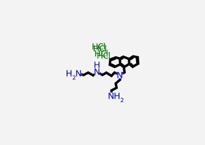 Cl.Cl.Cl.Cl.NCCCCN(CCCCNCCCN)Cc1c2ccccc2cc2ccccc12